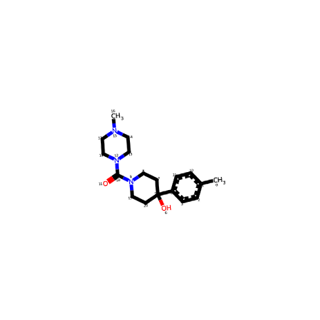 Cc1ccc(C2(O)CCN(C(=O)N3CCN(C)CC3)CC2)cc1